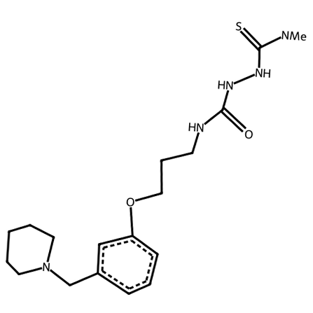 CNC(=S)NNC(=O)NCCCOc1cccc(CN2CCCCC2)c1